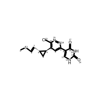 CS/C=C/[C@H]1C[C@@H]1c1cc(-c2c[nH]c(=O)[nH]c2=O)nnc1Cl